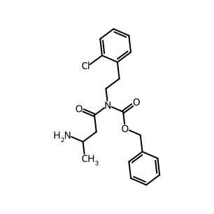 CC(N)CC(=O)N(CCc1ccccc1Cl)C(=O)OCc1ccccc1